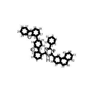 c1ccc(C2=NC(c3cccc4oc5cc(-c6cccc7c6oc6ccccc67)ccc5c34)NC(c3ccc4ccc5ccccc5c4c3)=N2)cc1